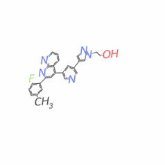 Cc1ccc(F)c(-c2cc(-c3cncc(-c4cnn(CCO)c4)c3)c3cccnc3n2)c1